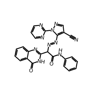 N#Cc1cnn(-c2ncccn2)c1N=NC(C(=O)Nc1ccccc1)c1nc2ccccc2c(=O)[nH]1